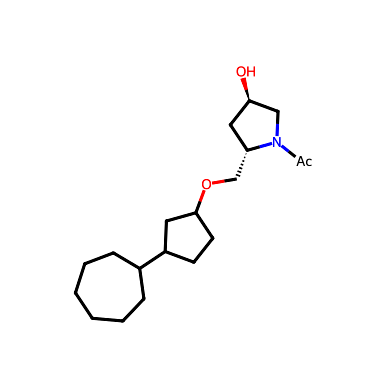 CC(=O)N1C[C@H](O)C[C@H]1COC1CCC(C2CCCCCC2)C1